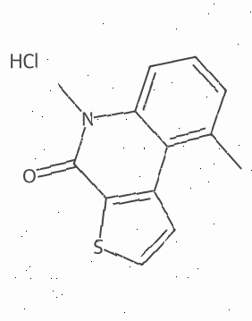 Cc1cccc2c1c1ccsc1c(=O)n2C.Cl